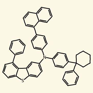 c1ccc(-c2cccc3sc4ccc(N(c5ccc(-c6cccc7ccccc67)cc5)c5ccc(C6(c7ccccc7)CCCCC6)cc5)cc4c23)cc1